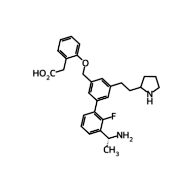 C[C@@H](N)c1cccc(-c2cc(CCC3CCCN3)cc(COc3ccccc3CC(=O)O)c2)c1F